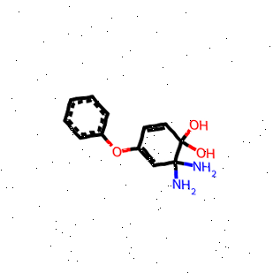 NC1(N)C=C(Oc2ccccc2)C=CC1(O)O